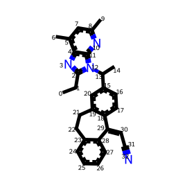 CCc1nc2c(C)cc(C)nc2n1C(C)c1ccc2c(c1)CCc1ccccc1C2=CC#N